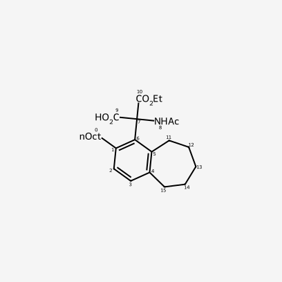 CCCCCCCCc1ccc2c(c1C(NC(C)=O)(C(=O)O)C(=O)OCC)CCCCC2